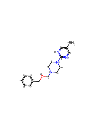 Bc1cnc(N2CCN(COCc3ccccc3)CC2)nc1